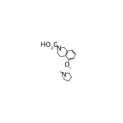 CN1CCC[C@H]1COc1cccc2c1CCN(C(=O)O)C2